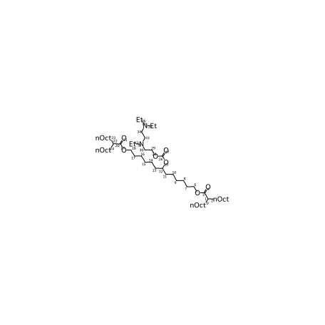 CCCCCCCCC(CCCCCCCC)C(=O)OCCCCCCC(CCCCCCOC(=O)C(CCCCCCCC)CCCCCCCC)OC(=O)OCCN(CC)CCN(CC)CC